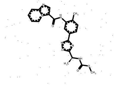 COC(=O)N[C@@H](C)c1nc(-c2ccc(C)c(NC(=O)c3cnc4ccccn34)c2)no1